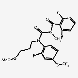 COSCCCN(C(=O)N(C)C(=O)c1c(F)cccc1F)c1ccc(SC(F)(F)F)cc1F